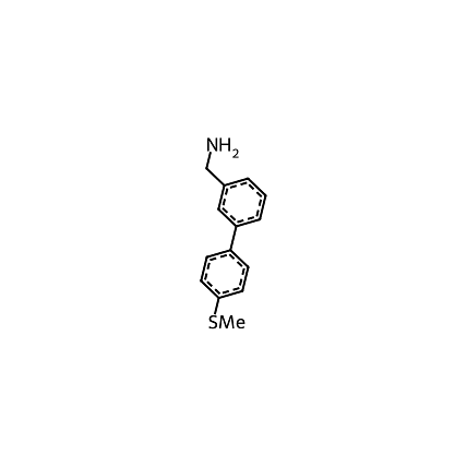 CSc1ccc(-c2cccc(CN)c2)cc1